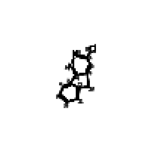 Clc1cc2c(nn1)-c1ccccc1C2